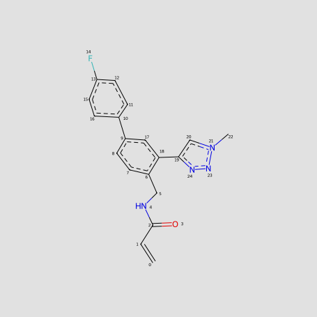 C=CC(=O)NCc1ccc(-c2ccc(F)cc2)cc1-c1cn(C)nn1